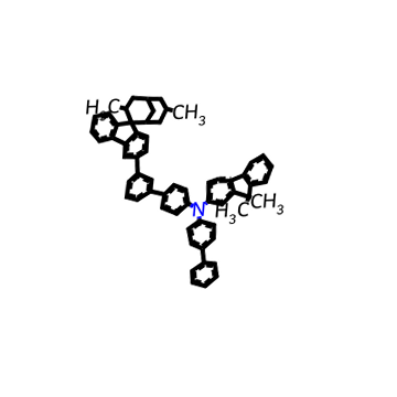 CC1CC2CC(C)C3(c4ccccc4-c4cc(-c5cccc(-c6ccc(N(c7ccc(-c8ccccc8)cc7)c7ccc8c(c7)C(C)(C)c7ccccc7-8)cc6)c5)ccc43)C(C1)C2